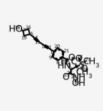 CC(C)(C(NC(=O)c1ccc(C#CC#CC2CC(O)C2)cc1)C(=O)NO)S(C)(=O)=O